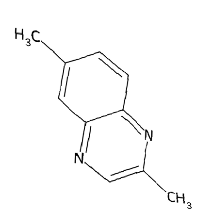 Cc1ccc2nc(C)cnc2c1